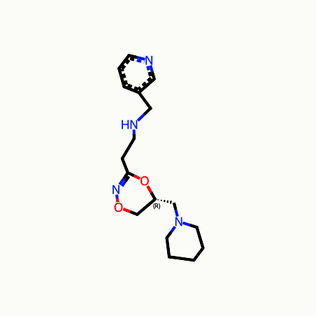 c1cncc(CNCCC2=NOC[C@@H](CN3CCCCC3)O2)c1